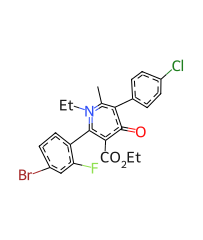 CCOC(=O)c1c(-c2ccc(Br)cc2F)n(CC)c(C)c(-c2ccc(Cl)cc2)c1=O